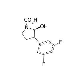 O=C(O)N1CCC(c2cc(F)cc(F)c2)[C@@H]1O